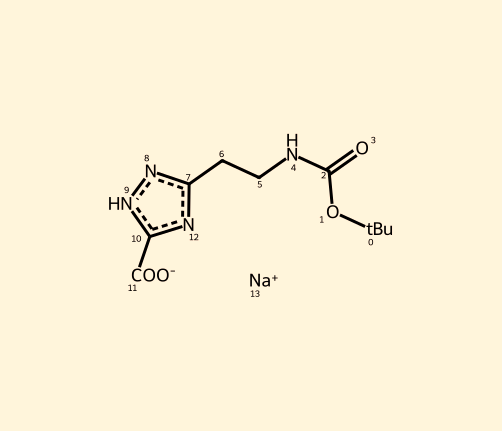 CC(C)(C)OC(=O)NCCc1n[nH]c(C(=O)[O-])n1.[Na+]